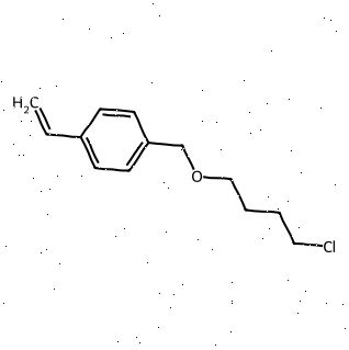 C=Cc1ccc(COCCCCCl)cc1